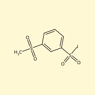 CS(=O)(=O)c1cccc(S(=O)(=O)I)c1